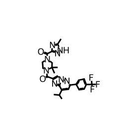 Cc1nc(C(=O)N2CCN(C(=O)c3cn4nc(-c5ccc(C(F)(F)F)cc5)cc(C(C)C)c4n3)C(C)(C)C2)n[nH]1